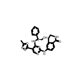 Cc1nnc(-c2cnc(Nc3ccc4c(c3)CCNC4=O)nc2N[C@H](CO)c2ccccc2)o1